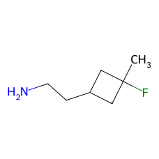 CC1(F)CC(CCN)C1